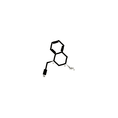 N#CC[C@@H]1C[C@@H](N)Cc2ccccc21